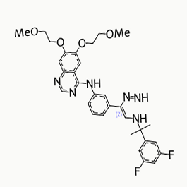 COCCOc1cc2ncnc(Nc3cccc(/C(=C/NC(C)(C)c4cc(F)cc(F)c4)N=N)c3)c2cc1OCCOC